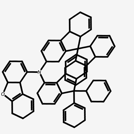 C1=CCC2C(=C1)C1C=CC=CC1C21C2=C(C=CC(N(C3=CC=CC4OC5=C(C=CCC5)C34)C3=C4C(=CCC3)C(C3=CCCC=C3)(C3CC=CCC3)C3C=CC=CC43)C2)C2CCC=CC21